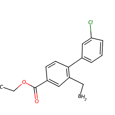 BCc1cc(C(=O)OCC)ccc1-c1cccc(Cl)c1